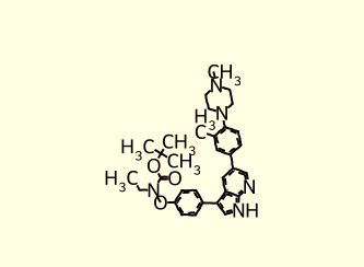 CCN(Oc1ccc(-c2c[nH]c3ncc(-c4ccc(N5CCN(C)CC5)c(C)c4)cc23)cc1)C(=O)OC(C)(C)C